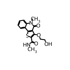 CNC(=O)c1sc2c(c1OCCO)c(=O)n(C)c1ccccc21